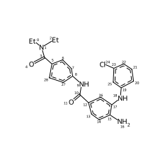 CCN(CC)C(=O)c1ccc(NC(=O)c2ccc(N)c(Nc3cccc(Cl)c3)c2)cc1